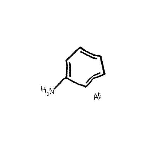 Nc1ccccc1.[Al]